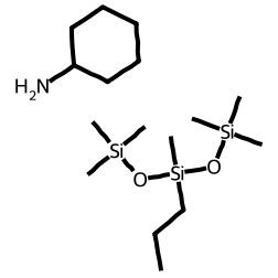 CCC[Si](C)(O[Si](C)(C)C)O[Si](C)(C)C.NC1CCCCC1